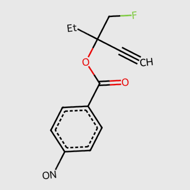 C#CC(CC)(CF)OC(=O)c1ccc(N=O)cc1